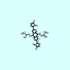 CCCCC(CC)COc1c2cc(-c3ncc(C)n3C)sc2c(OCC(CC)CCCC)c2cc(-c3ncc(C)n3C)sc12